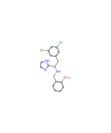 COc1ccccc1CNC(Cc1cc(Cl)cc(Cl)c1)c1ncc[nH]1